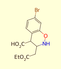 CCOC(=O)CC1NOc2cc(Br)ccc2C1C(=O)O